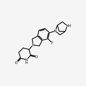 O=C1CCC(N2Cc3ccc(N4CC5CC4CN5)c(F)c3C2)C(=O)N1